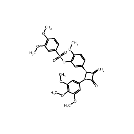 C=C1C(=O)N(c2cc(OC)c(OC)c(OC)c2)[C@H]1c1ccc(OC)c(OS(=O)(=O)c2ccc(OC)c(OC)c2)c1